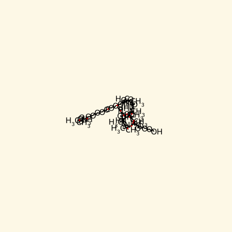 CCC1=C(C)c2cc3[nH]c(cc4nc(c5c6[nH]c(cc1n2)c(C)c6C(=O)N(CCN1CCOCC1)C5=O)[C@@H](CCC(=O)N(C)CCNC(=O)[C@H](C)NC(=O)[C@H](C)NC(=O)CCOCCOCCOCCOCCOCCOCCOCCOCCNC(=O)OC(C)(C)C)[C@@H]4C)c(C)c3/C=C/C(=O)OCCOCCOCCO